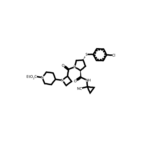 CCOC(=O)N1CCC(N2CCC2C(=O)N2C[C@H](Sc3ccc(Cl)cc3)C[C@H]2C(=O)NC2(C#N)CC2)CC1